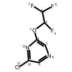 FC(F)C(F)Oc1cncc(Cl)n1